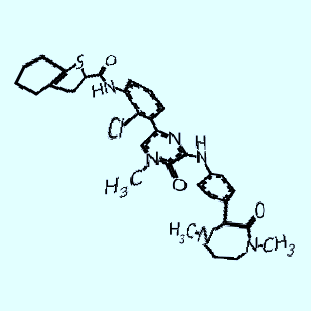 CN1CCN(C)C(c2ccc(Nc3nc(-c4cccc(NC(=O)C5CC6=C(CCCC6)S5)c4Cl)cn(C)c3=O)cc2)C1=O